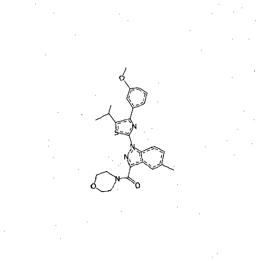 COc1cccc(-c2nc(-n3nc(C(=O)N4CCOCC4)c4cc(C)ccc43)sc2C(C)C)c1